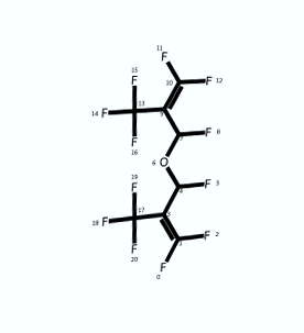 FC(F)=C(C(F)OC(F)C(=C(F)F)C(F)(F)F)C(F)(F)F